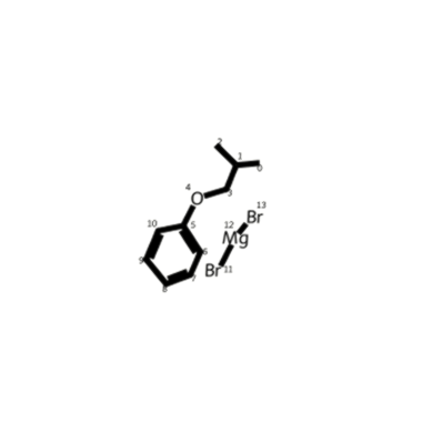 CC(C)COc1cc[c]cc1.[Br][Mg][Br]